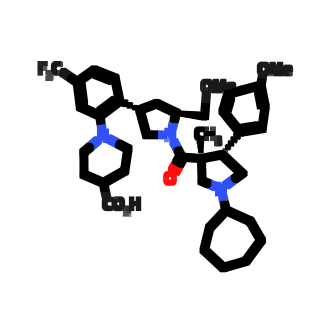 COC[C@@H]1C[C@@H](c2ccc(C(F)(F)F)cc2N2CCC(C(=O)O)CC2)CN1C(=O)[C@]1(C)CN(C2CCCCCC2)C[C@H]1c1ccc(OC)cc1